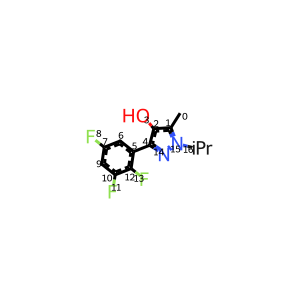 Cc1c(O)c(-c2cc(F)cc(F)c2F)nn1C(C)C